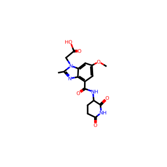 COc1cc(C(=O)NC2CCC(=O)NC2=O)c2nc(C)n(CC(=O)O)c2c1